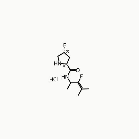 CC(C)=C(F)C(C)NC(=O)[C@@H]1C[C@@H](F)CN1.Cl